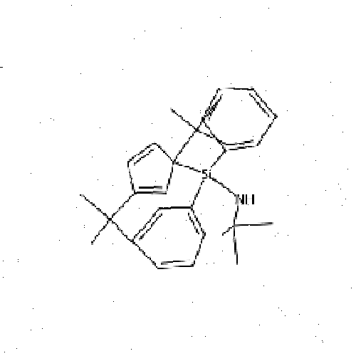 CC(C)(C)N[Si](c1ccccc1)(c1ccccc1)C1(C(C)(C)C)C=CC(C(C)(C)C)=C1